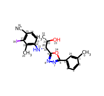 Cc1cccc(-c2nnc([C@H](Nc3ccc(C#N)c(I)c3C)[C@H](C)O)o2)c1